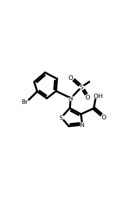 CS(=O)(=O)N(c1cccc(Br)c1)c1scnc1C(=O)O